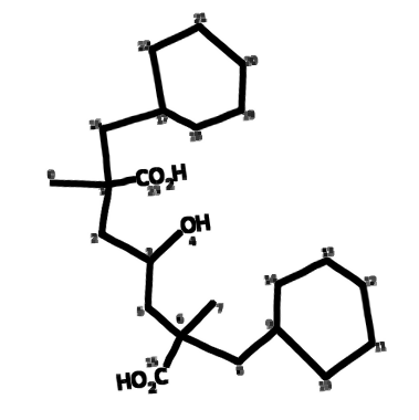 CC(CC(O)CC(C)(CC1CCCCC1)C(=O)O)(CC1CCCCC1)C(=O)O